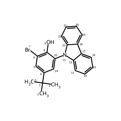 CC(C)(C)c1cc(Br)c(O)c(-n2c3ccccc3c3ccccc32)c1